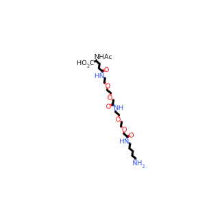 CC(=O)N[C@@H](CCC(=O)NCCOCCOCC(=O)NCCOCCOCC(=O)NCCCCCN)C(=O)O